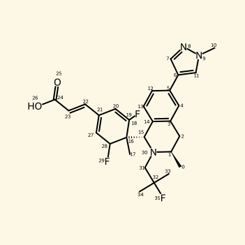 C[C@@H]1Cc2cc(-c3cnn(C)c3)ccc2[C@@H](C2(C)C(F)=CC(/C=C/C(=O)O)=CC2F)N1CC(C)(C)F